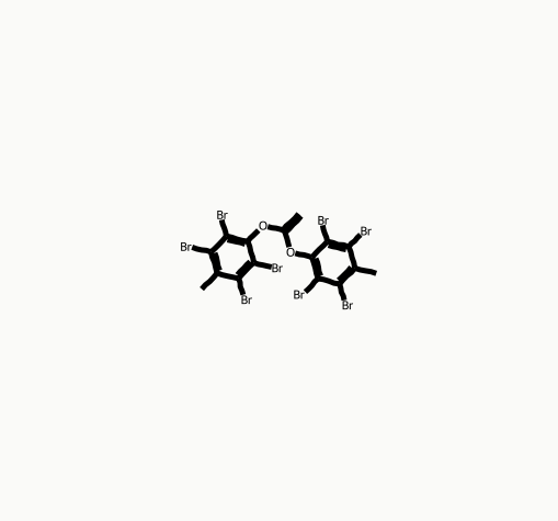 C=C(Oc1c(Br)c(Br)c(C)c(Br)c1Br)Oc1c(Br)c(Br)c(C)c(Br)c1Br